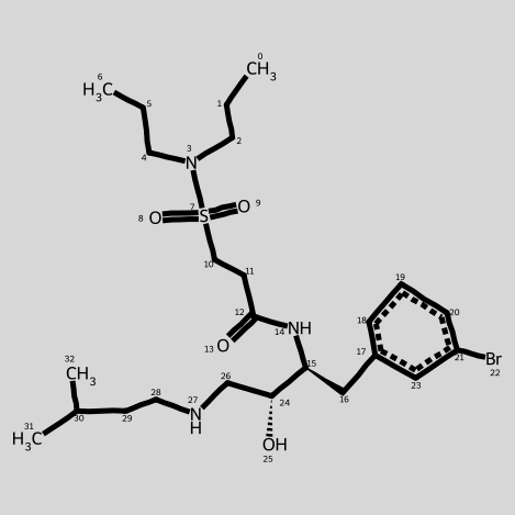 CCCN(CCC)S(=O)(=O)CCC(=O)N[C@@H](Cc1cccc(Br)c1)[C@H](O)CNCCC(C)C